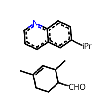 CC(C)c1ccc2ncccc2c1.CC1=CC(C)C(C=O)CC1